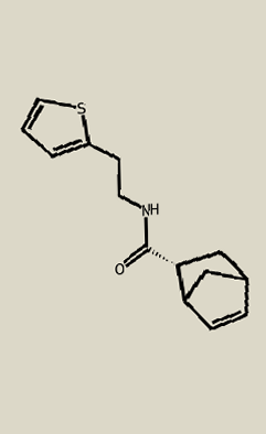 O=C(NCCc1cccs1)[C@@H]1CC2C=CC1C2